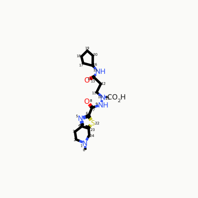 CN1CCc2nc(C(=O)NN(CCC(=O)NC3CCCC3)C(=O)O)sc2C1